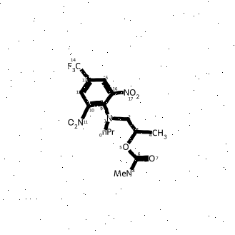 CCCN(CC(C)OC(=O)NC)c1c([N+](=O)[O-])cc(C(F)(F)F)cc1[N+](=O)[O-]